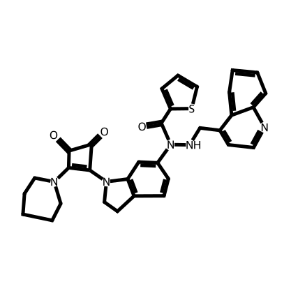 O=C(c1cccs1)N(NCc1ccnc2ccccc12)c1ccc2c(c1)N(c1c(N3CCCCC3)c(=O)c1=O)CC2